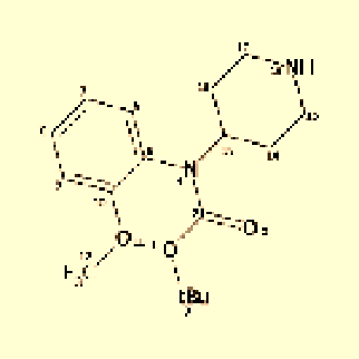 CC(C)(C)OC(=O)N(c1ccccc1OC(F)(F)F)C1CCNCC1